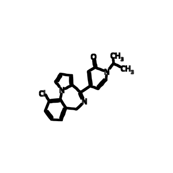 CC(C)n1ccc(C2=NCc3cccc(Cl)c3-n3cccc32)cc1=O